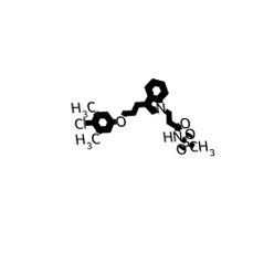 Cc1cc(OCCCc2cn(CCC(=O)NS(C)(=O)=O)c3ccccc23)cc(C)c1Cl